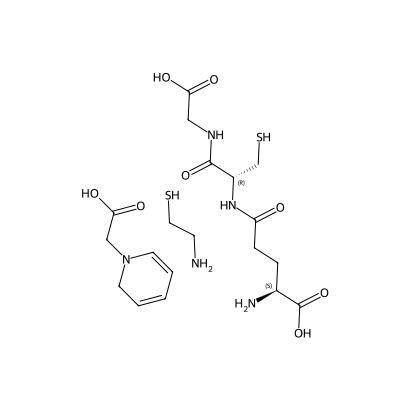 NCCS.N[C@@H](CCC(=O)N[C@@H](CS)C(=O)NCC(=O)O)C(=O)O.O=C(O)CN1C=CC=CC1